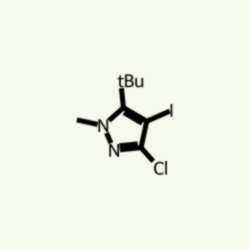 Cn1nc(Cl)c(I)c1C(C)(C)C